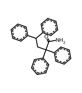 NC(=O)C(CC(c1ccccc1)c1ccccc1)(c1ccccc1)c1ccccc1